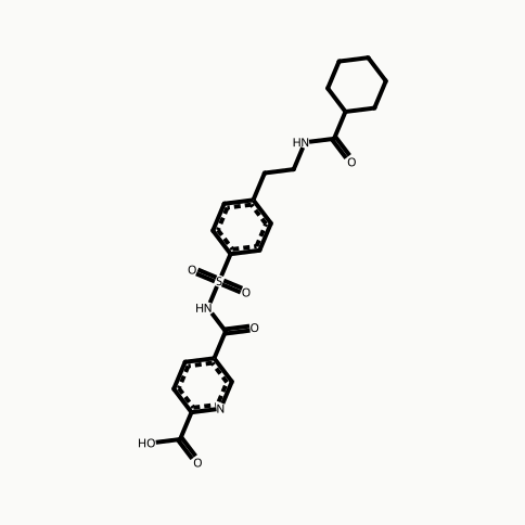 O=C(NS(=O)(=O)c1ccc(CCNC(=O)C2CCCCC2)cc1)c1ccc(C(=O)O)nc1